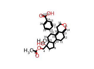 CC(=O)OC[C@]1(O)CCC2C3CCC4=COCCC4=C3[C@@H](c3ccc(C(=O)O)cc3)C[C@@]21C